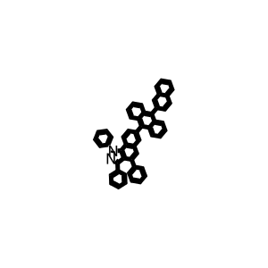 c1ccc(-c2cc3cc(-c4c5ccccc5c(-c5ccc6ccccc6c5)c5ccccc45)ccc3c3c2c(-c2ccccc2)nn3-c2ccccc2)cc1